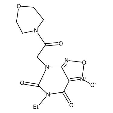 CCn1c(=O)c2c(no[n+]2[O-])n(CC(=O)N2CCOCC2)c1=O